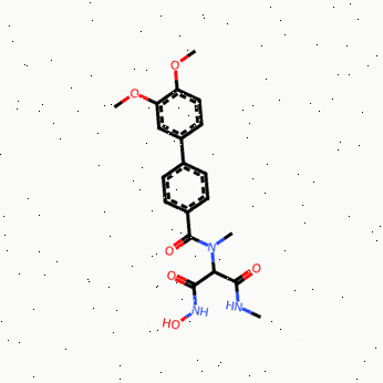 CNC(=O)C(C(=O)NO)N(C)C(=O)c1ccc(-c2ccc(OC)c(OC)c2)cc1